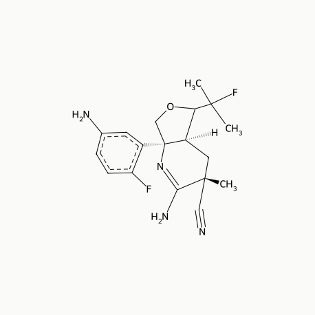 CC(C)(F)C1OC[C@]2(c3cc(N)ccc3F)N=C(N)[C@@](C)(C#N)C[C@H]12